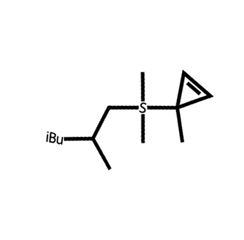 CCC(C)C(C)CS(C)(C)C1(C)C=C1